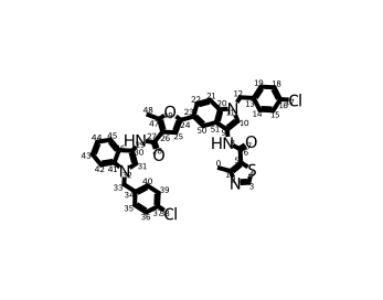 Cc1ncsc1C(=O)Nc1cn(Cc2ccc(Cl)cc2)c2ccc(-c3cc(C(=O)Nc4cn(Cc5ccc(Cl)cc5)c5ccccc45)c(C)o3)cc12